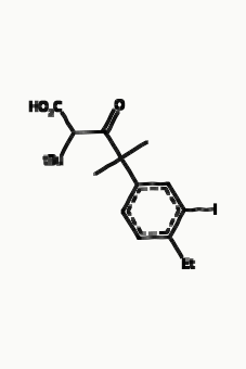 CCc1ccc(C(C)(C)C(=O)C(C(=O)O)C(C)(C)C)cc1I